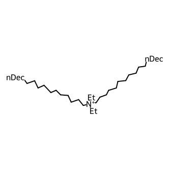 CCCCCCCCCCCCCCCCCCCCC[N+](CC)(CC)CCCCCCCCCCCCCCCCCCCCC